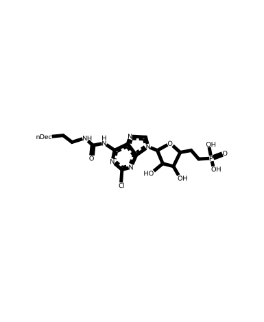 CCCCCCCCCCCCNC(=O)Nc1nc(Cl)nc2c1ncn2C1OC(CCP(=O)(O)O)C(O)C1O